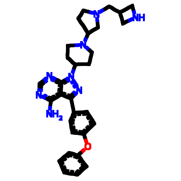 Nc1ncnc2c1c(-c1ccc(Oc3ccccc3)cc1)nn2C1CCN(C2CCN(CC3CNC3)C2)CC1